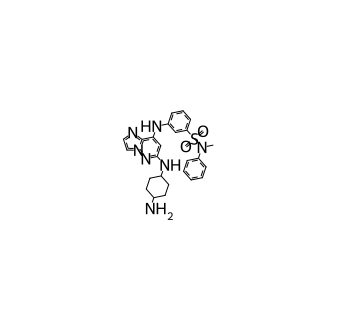 CN(c1ccccc1)S(=O)(=O)c1cccc(Nc2cc(NC3CCC(N)CC3)nn3ccnc23)c1